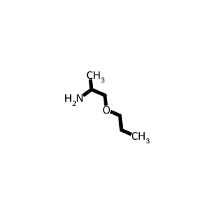 CCCOCC(C)N